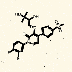 CC(C)(O)C(O)COc1c(-c2ccc(S(C)(=O)=O)cc2)cnn(-c2ccc(F)c(Br)c2)c1=O